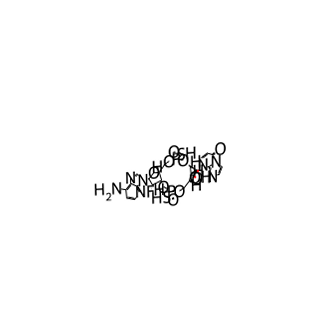 Nc1ccnc2c1ncn2[C@@H]1O[C@@H]2CO[P@@](=O)(S)O[C@@H]3[C@H](O)[C@@H](CO[P@](=O)(S)O[C@H]2[C@@H]1F)O[C@H]3n1ccc(=O)n2ccnc12